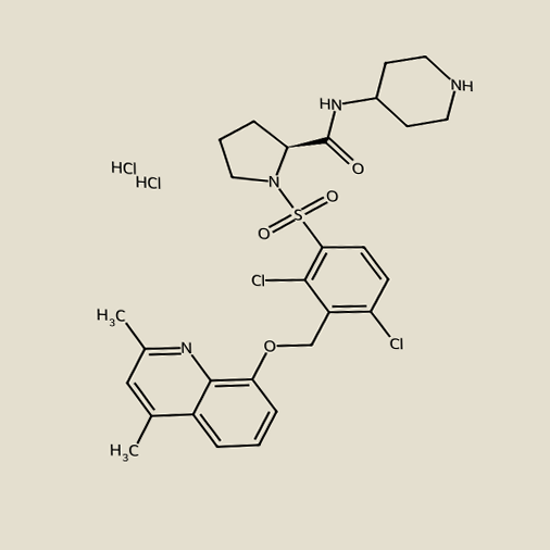 Cc1cc(C)c2cccc(OCc3c(Cl)ccc(S(=O)(=O)N4CCC[C@H]4C(=O)NC4CCNCC4)c3Cl)c2n1.Cl.Cl